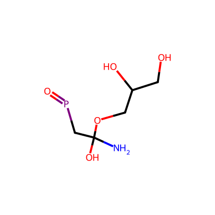 NC(O)(CP=O)OCC(O)CO